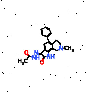 CC(=O)NN=C1C(=O)Nc2c1cc(-c1ccccc1)c1c2CN(C)CC1